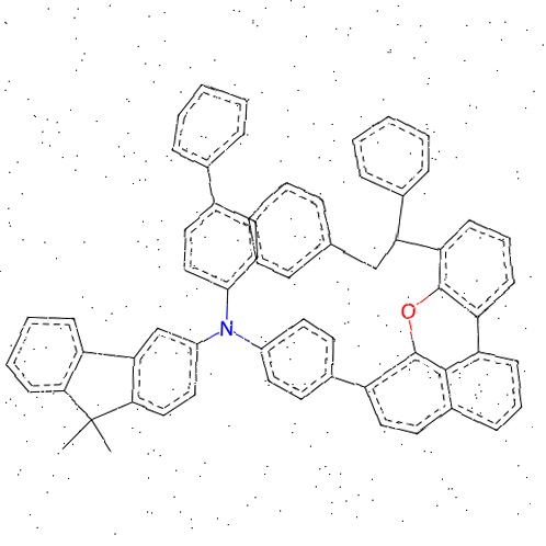 CC1(C)c2ccccc2-c2cc(N(c3ccc(-c4ccccc4)cc3)c3ccc(-c4ccc5cccc6c5c4Oc4c-6cccc4C(Cc4ccccc4)c4ccccc4)cc3)ccc21